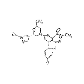 C[C@H]1CN(c2cc(-c3ccc(Cl)cc3F)c3cnn(C)c(=O)c3n2)C[C@H](c2cnn(C3CC3)c2)O1